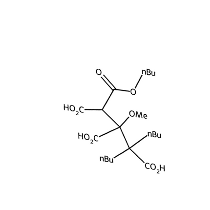 CCCCOC(=O)C(C(=O)O)C(OC)(C(=O)O)C(CCCC)(CCCC)C(=O)O